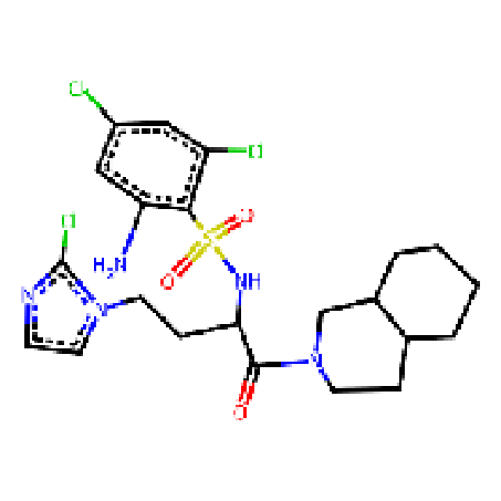 Nc1cc(Cl)cc(Cl)c1S(=O)(=O)NC(CCn1ccnc1Cl)C(=O)N1CCC2CCCCC2C1